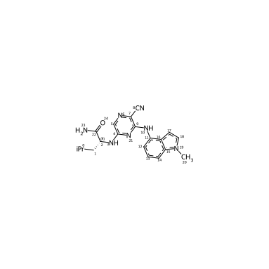 CC(C)C[C@@H](Nc1cnc(C#N)c(Nc2cccc3c2ccn3C)n1)C(N)=O